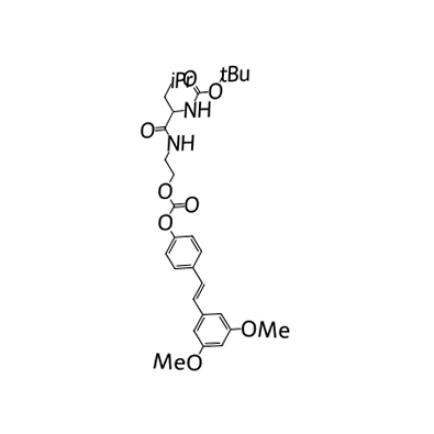 COc1cc(/C=C/c2ccc(OC(=O)OCCNC(=O)C(CC(C)C)NC(=O)OC(C)(C)C)cc2)cc(OC)c1